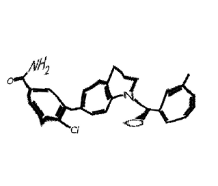 Cc1cccc(C(=O)N2CCCc3cc(-c4cc(C(N)=O)ccc4Cl)ccc32)c1